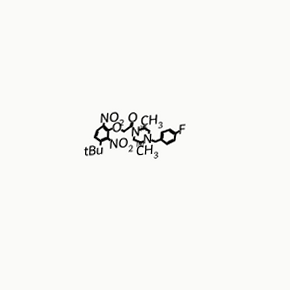 C[C@@H]1CN(C(=O)COc2c([N+](=O)[O-])ccc(C(C)(C)C)c2[N+](=O)[O-])[C@@H](C)CN1Cc1ccc(F)cc1